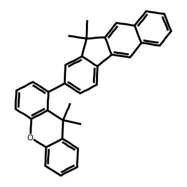 CC1(C)c2cc(-c3cccc4c3C(C)(C)c3ccccc3O4)ccc2-c2cc3ccccc3cc21